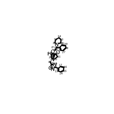 C[C@@](C(=O)O[C@H]1C[N+]2(Cc3nc(-c4ccccc4)no3)CCC1CC2)(c1ccccc1)N1CCCCC1